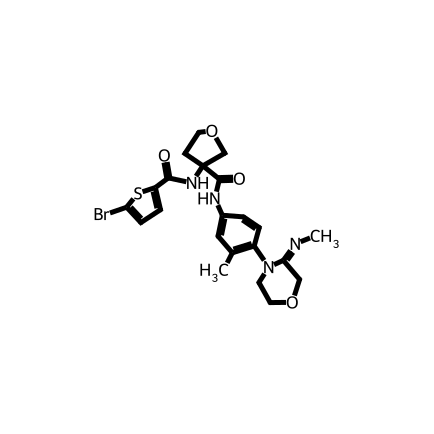 CN=C1COCCN1c1ccc(NC(=O)C2(NC(=O)c3ccc(Br)s3)CCOC2)cc1C